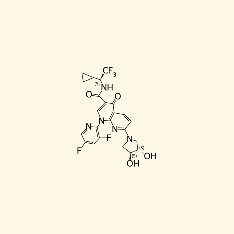 O=C(N[C@@H](C1CC1)C(F)(F)F)c1cn(-c2ncc(F)cc2F)c2nc(N3C[C@H](O)[C@@H](O)C3)ccc2c1=O